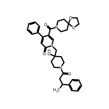 CC(CC(=O)N1CCC(O)(Cn2cc(C(=O)N3CCC4(CC3)OCCO4)c(-c3ccccc3)cc2=O)CC1)c1ccccc1